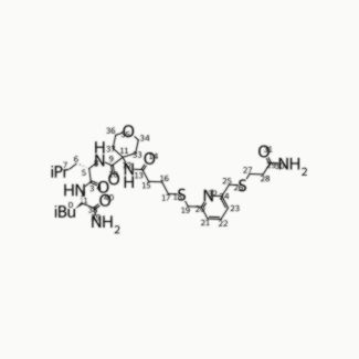 CC[C@H](C)[C@H](NC(=O)[C@H](CC(C)C)NC(=O)C1(NC(=O)CCCSCc2cccc(CSCCC(N)=O)n2)CCOCC1)C(N)=O